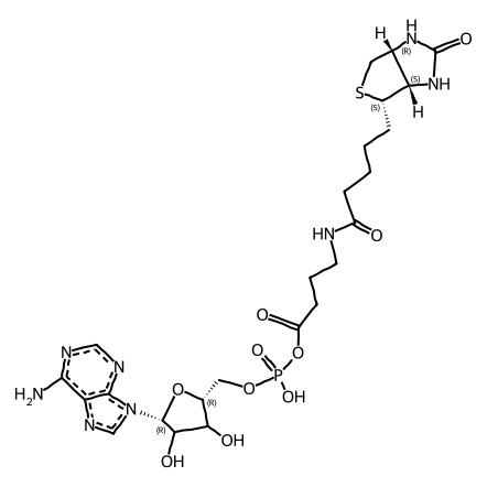 Nc1ncnc2c1ncn2[C@@H]1O[C@H](COP(=O)(O)OC(=O)CCCNC(=O)CCCC[C@@H]2SC[C@@H]3NC(=O)N[C@@H]32)C(O)C1O